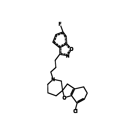 Fc1ccc2c(CCCN3CCCC4(CC5=C(O4)C(Cl)=CCC5)C3)noc2c1